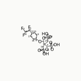 O=S(=O)(O)CC(COc1ccc(C(F)=C(F)F)cc1)(CS(=O)(=O)O)CS(=O)(=O)O